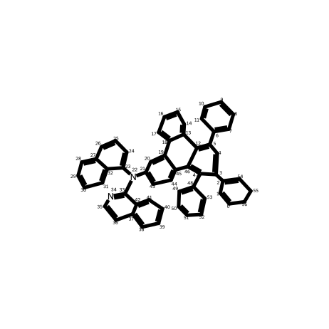 C1=CC(c2cc(-c3ccccc3)c3c4ccccc4c4cc(N(c5cccc6ccccc56)c5nccc6ccccc56)ccc4c3c2-c2ccccc2)=CCC1